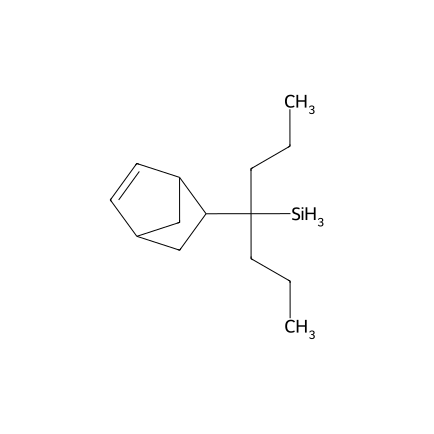 CCCC([SiH3])(CCC)C1CC2C=CC1C2